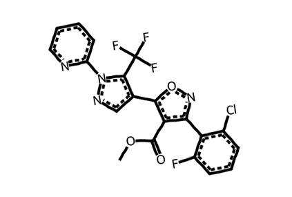 COC(=O)c1c(-c2c(F)cccc2Cl)noc1-c1cnn(-c2ccccn2)c1C(F)(F)F